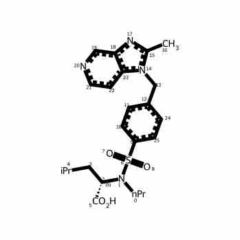 CCCN([C@@H](CC(C)C)C(=O)O)S(=O)(=O)c1ccc(Cn2c(C)nc3cnccc32)cc1